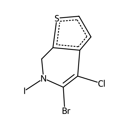 ClC1=C(Br)N(I)Cc2sccc21